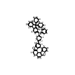 c1ccc(N(c2ccc(-c3ccc4c(c3)oc3ccc5ccc6oc7ccccc7c6c5c34)cc2)c2ccc3c(c2)C(c2ccccc2)(c2ccccc2)c2ccccc2-3)cc1